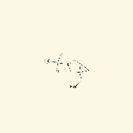 CCC(C)(CC)N1CC2CC2(CN)C1